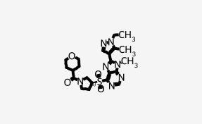 CCn1ncc(-c2nc3c(S(=O)(=O)[C@H]4CCN(C(=O)C5CCOCC5)C4)ncnc3n2C)c1C